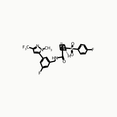 Cn1nc(C(F)(F)F)cc1-c1cc(F)cc(CNC(=O)[C@@H]2C3CC(C3)N2S(=O)(=O)c2ccc(F)cc2)c1